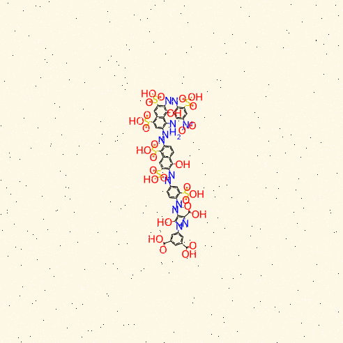 Nc1c(N=Nc2ccc3c(O)c(N=Nc4ccc(N=Nc5c(C(=O)O)nn(-c6cc(C(=O)O)cc(C(=O)O)c6)c5O)c(S(=O)(=O)O)c4)c(S(=O)(=O)O)cc3c2S(=O)(=O)O)cc(S(=O)(=O)O)c2cc(S(=O)(=O)O)c(/N=N\c3ccc([N+](=O)[O-])cc3S(=O)(=O)O)c(O)c12